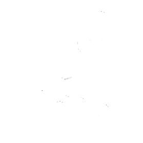 N#Cc1cccc(C(=O)N2CCC(c3cc(NCc4cccnc4)n4ncc(Br)c4n3)CC2)c1